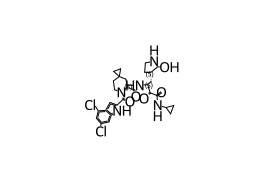 O=C(NC1CC1)C(=O)[C@H](C[C@@H]1CCNC1O)NC(=O)[C@@H]1CC2(CCN1C(=O)c1cc3c(Cl)cc(Cl)cc3[nH]1)CC2